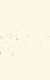 COC(=O)c1ccn2c3c(nc2c1C)[C@@H]1[C@H](C3)N(CC2CC2)[C@@]2(C(=O)Nc3cc(Cl)ccc32)[C@H]1c1ccnc(Cl)c1F